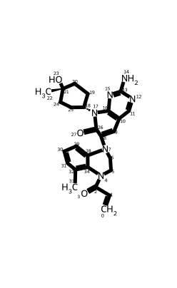 C=CC(=O)N1CCN(c2cc3cnc(N)nc3n([C@H]3CC[C@@](C)(O)CC3)c2=O)c2cccc(C)c21